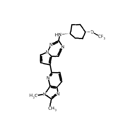 Cc1nc2ccc(-c3ccn4nc(N[C@H]5CC[C@@H](OC(F)(F)F)CC5)ncc34)nc2n1C